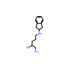 CCC(CN)CCCNC1Cc2ccccc2C1